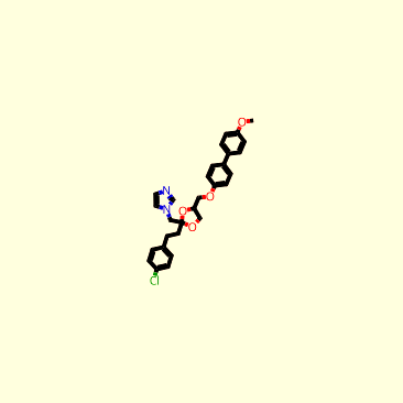 COc1ccc(-c2ccc(OCC3COC(CCc4ccc(Cl)cc4)(Cn4ccnc4)O3)cc2)cc1